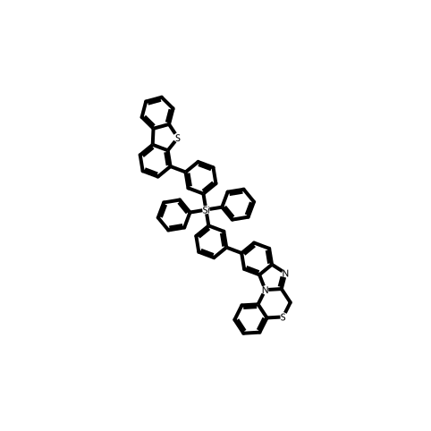 c1ccc([Si](c2ccccc2)(c2cccc(-c3ccc4nc5n(c4c3)-c3ccccc3SC5)c2)c2cccc(-c3cccc4c3sc3ccccc34)c2)cc1